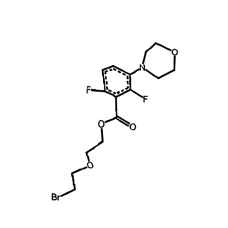 O=C(OCCOCCBr)c1c(F)ccc(N2CCOCC2)c1F